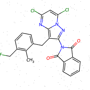 Cc1c(CF)cccc1Cc1c(N2C(=O)c3ccccc3C2=O)nn2c(Cl)cc(Cl)nc12